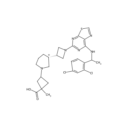 CC(Nc1nc(N2CC([C@H]3CCCN(C4CC(C)(C(=O)O)C4)C3)C2)nc2scnc12)c1ccc(Cl)cc1Cl